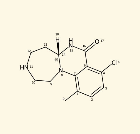 Cc1ccc(Cl)c2c1N1CCNCC[C@@H]1NC2=O